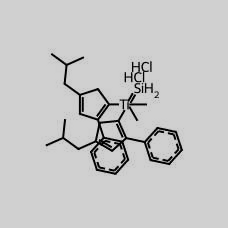 CC(C)CC1=CC(c2ccccc2)=[C]([Ti]([CH3])([CH3])(=[SiH2])[C]2=C(c3ccccc3)C=C(CC(C)C)C2)C1.Cl.Cl